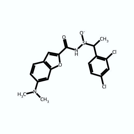 CC(c1ccc(Cl)cc1Cl)[S+]([O-])NC(=O)c1cc2ccc(N(C)C)cc2o1